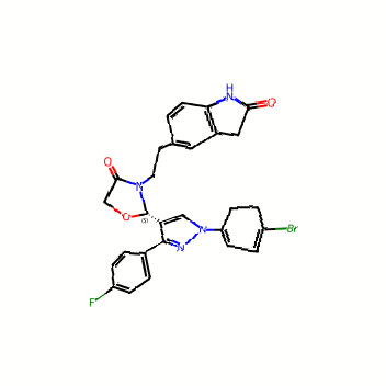 O=C1Cc2cc(CCN3C(=O)CO[C@H]3c3cn(C4=CC=C(Br)CC4)nc3-c3ccc(F)cc3)ccc2N1